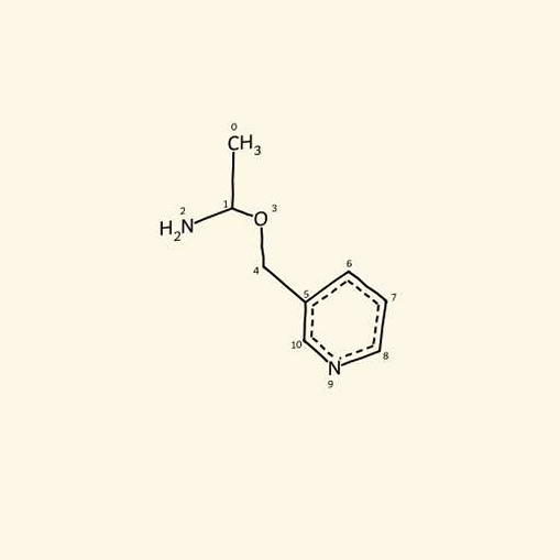 CC(N)OCc1cccnc1